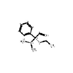 CCC[C@@]([C]=O)(c1ccccc1)N(C)C